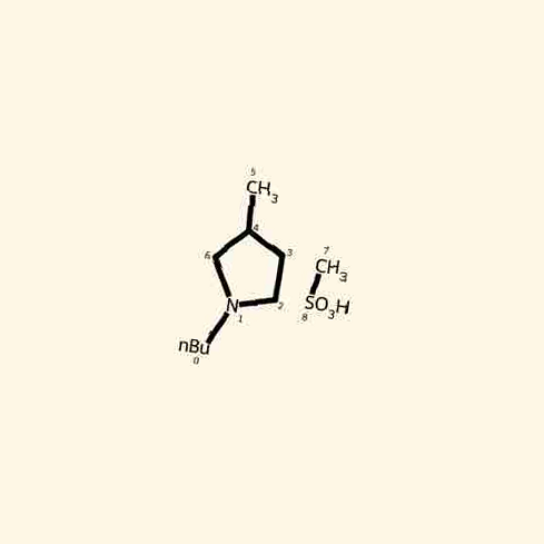 CCCCN1CCC(C)C1.CS(=O)(=O)O